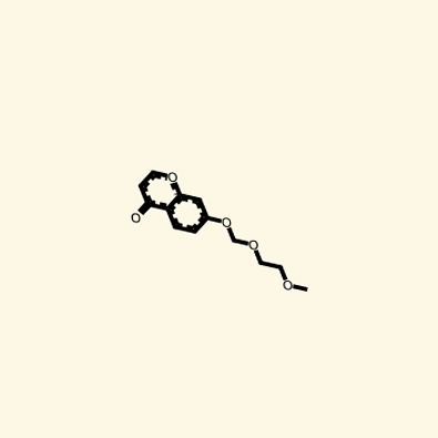 COCCOCOc1ccc2c(=O)ccoc2c1